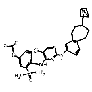 CP(C)(=O)c1cc(OC(F)F)ccc1Nc1nc(Nc2ccc3c(c2)CCC(N2CC4CC2C4)CC3)ncc1Cl